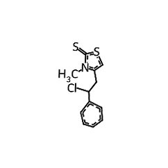 Cn1c(CC(Cl)c2ccccc2)csc1=S